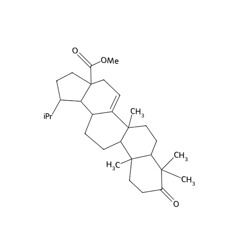 COC(=O)C12CC=C3C(CCC4C3(C)CCC3C(C)(C)C(=O)CCC34C)C1C(C(C)C)CC2